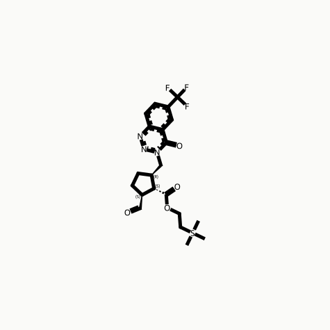 CS(C)(C)CCOC(=O)[C@H]1[C@H](Cn2nnc3ccc(C(F)(F)F)cc3c2=O)CC[C@@H]1C=O